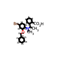 CC(c1ccccc1C(=O)O)N(C)c1ccc(Br)cc1OCc1ccccc1